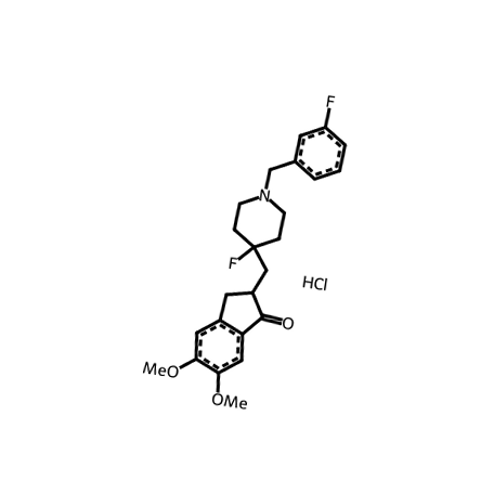 COc1cc2c(cc1OC)C(=O)C(CC1(F)CCN(Cc3cccc(F)c3)CC1)C2.Cl